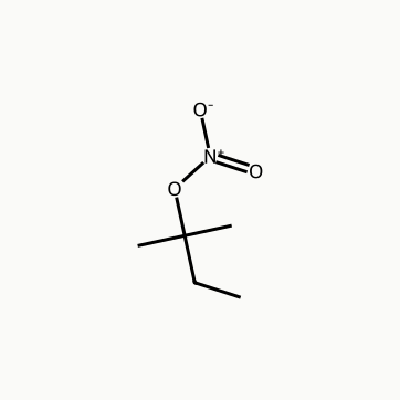 CCC(C)(C)O[N+](=O)[O-]